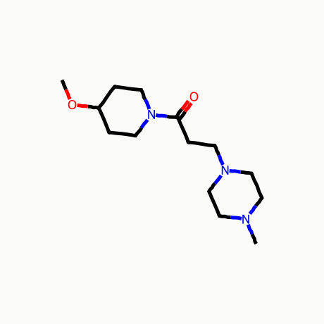 COC1CCN(C(=O)CCN2CCN(C)CC2)CC1